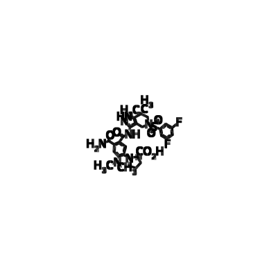 CN(C)c1cc(C(N)=O)c(C(=O)Nc2n[nH]c3c2CN(S(=O)(=O)c2cc(F)cc(F)c2)CC3(C)C)cc1N1CCC[C@@H]1C(=O)O